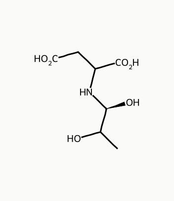 CC(O)[C@H](O)NC(CC(=O)O)C(=O)O